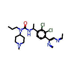 C=N/C(=C\N=C/C)c1ccc(C(C)NC(=O)N(CCC)C2CCN(C)CC2)c(Cl)c1Cl